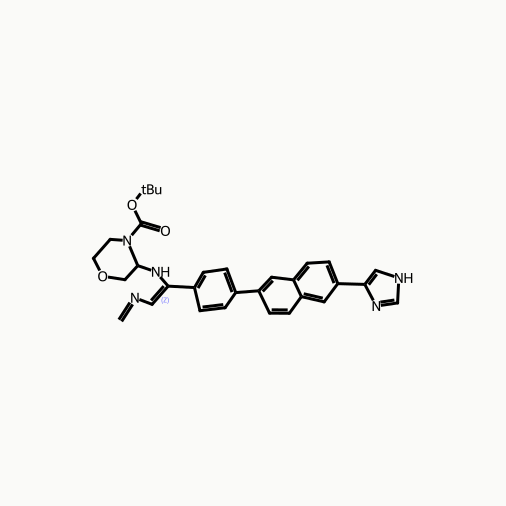 C=N/C=C(\NC1COCCN1C(=O)OC(C)(C)C)c1ccc(-c2ccc3cc(-c4c[nH]cn4)ccc3c2)cc1